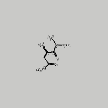 C=C(CC(N)=O)C(=O)N(C)C